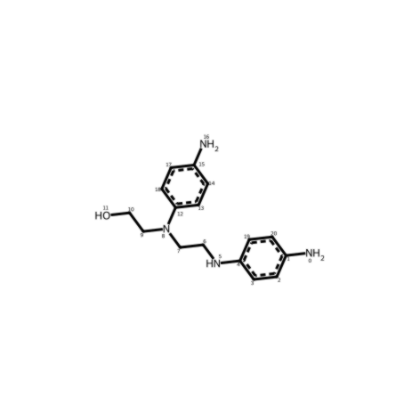 Nc1ccc(NCCN(CCO)c2ccc(N)cc2)cc1